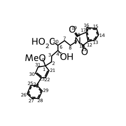 COC1(CCC(O)C(CCN2C(=O)c3ccccc3C2=O)C(=O)O)C=CC(c2ccccc2)=CC1